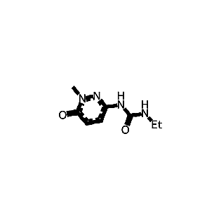 CCNC(=O)Nc1ccc(=O)n(C)n1